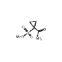 COS(=O)(=O)C1(C(N)=O)CC1